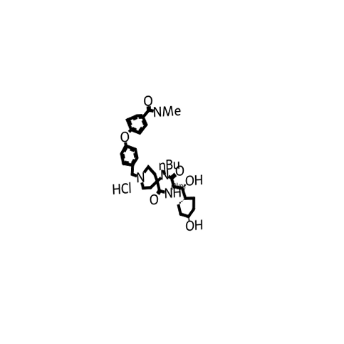 CCCCN1C(=O)[C@@H]([C@H](O)[C@H]2CC[C@@H](O)CC2)NC(=O)C12CCN(Cc1ccc(Oc3ccc(C(=O)NC)cc3)cc1)CC2.Cl